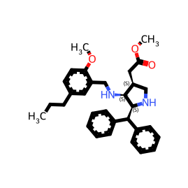 CCCc1ccc(OC)c(CN[C@H]2[C@@H](CC(=O)OC)CN[C@H]2C(c2ccccc2)c2ccccc2)c1